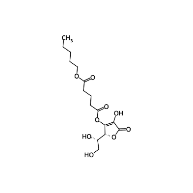 CCCCCOC(=O)CCCC(=O)OC1=C(O)C(=O)O[C@@H]1[C@@H](O)CO